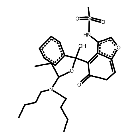 CCCCN(CCCC)C(CC)OC(O)(C1=c2c(NS(C)(=O)=O)coc2=CCC1=O)c1ccccc1